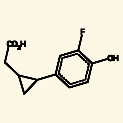 O=C(O)CC1CC1c1ccc(O)c(F)c1